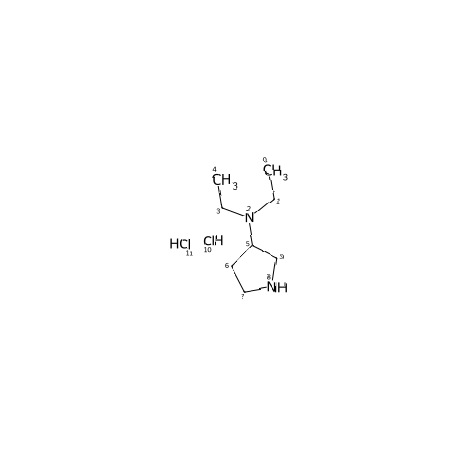 CCN(CC)C1CCNC1.Cl.Cl